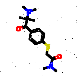 CN(C)C(=O)CSc1ccc(C(=O)C(C)(C)N(C)C)cc1